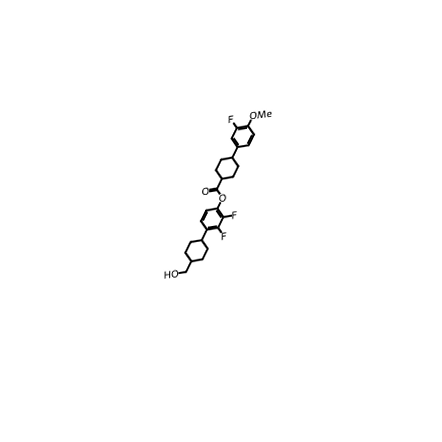 COc1ccc(C2CCC(C(=O)Oc3ccc(C4CCC(CO)CC4)c(F)c3F)CC2)cc1F